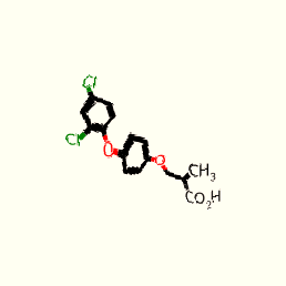 CC(COc1ccc(Oc2ccc(Cl)cc2Cl)cc1)C(=O)O